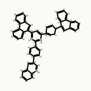 C1=CC(c2cc3ccccc3c3ccccc23)CC=C1c1cc(-c2cc3ccccc3c3ccccc23)nc(-c2ccc(-c3cnc4ccccc4c3)cc2)n1